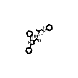 C=C(CNc1ccccc1)NNC(=O)c1cc(-c2ccccc2)nn1-c1ccccc1